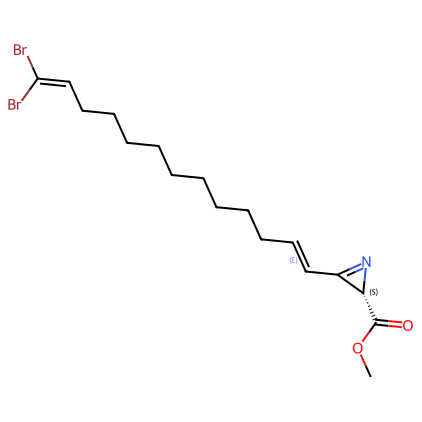 COC(=O)[C@H]1N=C1/C=C/CCCCCCCCCC=C(Br)Br